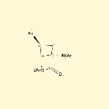 CN[C@]1(C(=O)OC)C[C@@H]([18F])C1